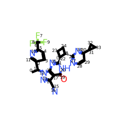 CC(c1ccc(C(F)(F)F)nc1)n1nc(C#N)c2c(=O)[nH]c([C@H]3CC[C@@H]3c3nccc(C4CC4)n3)nc21